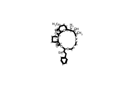 CC[C@H](Cc1ccccc1)[C@@H]1CCCCCC[C@@H](C)[C@H](O)[C@@H](C)[C@@H]2CC[C@@H](C)C(=O)C(O)(O2)C(=O)N2CCCC[C@H]2C(=O)O1